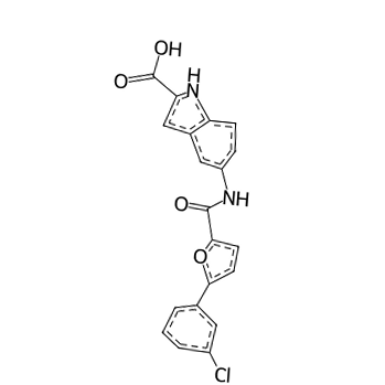 O=C(O)c1cc2cc(NC(=O)c3ccc(-c4cccc(Cl)c4)o3)ccc2[nH]1